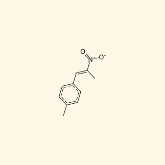 C/C(=C\c1ccc(C)cc1)[N+](=O)[O-]